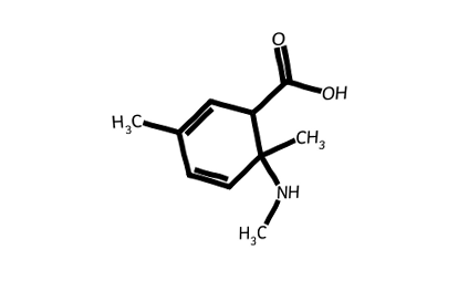 CNC1(C)C=CC(C)=CC1C(=O)O